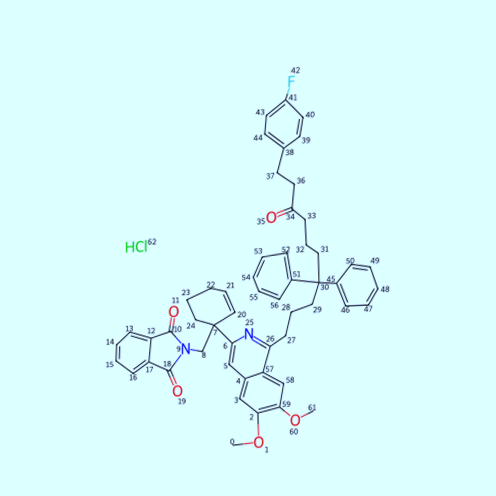 COc1cc2cc(C3(CN4C(=O)c5ccccc5C4=O)C=CCCC3)nc(CCCC(CCCC(=O)CCc3ccc(F)cc3)(c3ccccc3)c3ccccc3)c2cc1OC.Cl